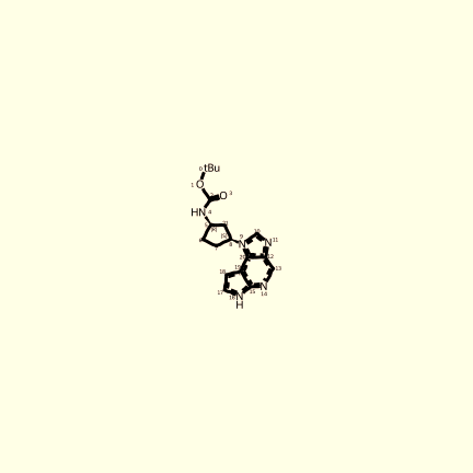 CC(C)(C)OC(=O)N[C@@H]1CC[C@H](n2cnc3cnc4[nH]ccc4c32)C1